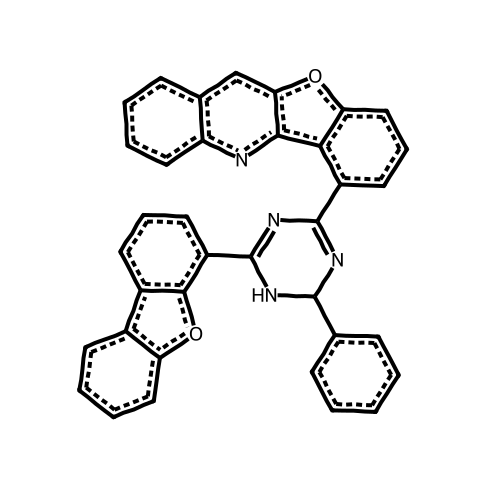 c1ccc(C2N=C(c3cccc4oc5cc6ccccc6nc5c34)N=C(c3cccc4c3oc3ccccc34)N2)cc1